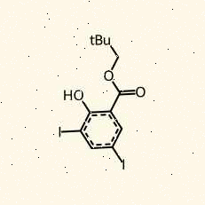 CC(C)(C)COC(=O)c1cc(I)cc(I)c1O